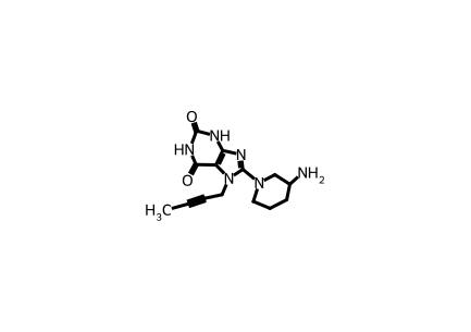 CC#CCn1c(N2CCCC(N)C2)nc2[nH]c(=O)[nH]c(=O)c21